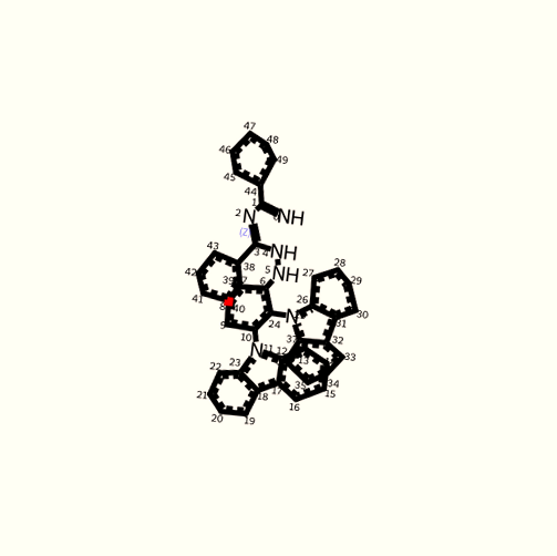 N=C(/N=C(\NNc1cccc(-n2c3ccccc3c3ccccc32)c1-n1c2ccccc2c2ccccc21)c1ccccc1)c1ccccc1